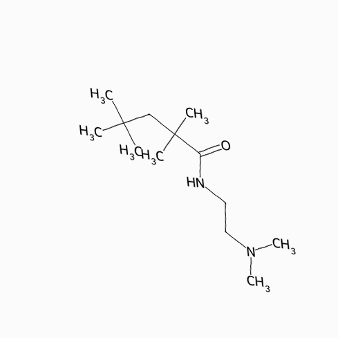 CN(C)CCNC(=O)C(C)(C)CC(C)(C)C